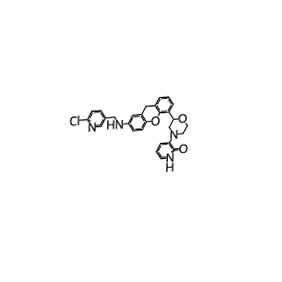 O=c1[nH]cccc1N1CCOC(c2cccc3c2Oc2ccc(NCc4ccc(Cl)nc4)cc2C3)C1